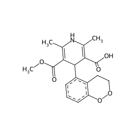 COC(=O)C1=C(C)NC(C)=C(C(=O)O)C1c1cccc2c1CCOO2